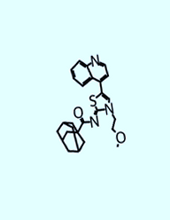 COCCn1cc(-c2ccnc3ccccc23)sc1=NC(=O)C12CC3CC(CC(C3)C1)C2